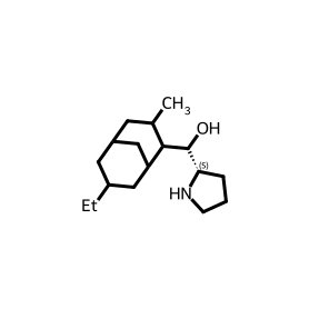 CCC1CC2CC(C)C(C(O)[C@@H]3CCCN3)C(C1)C2